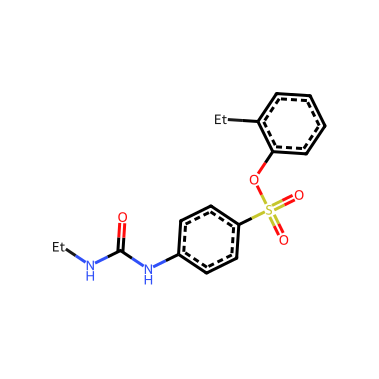 CCNC(=O)Nc1ccc(S(=O)(=O)Oc2ccccc2CC)cc1